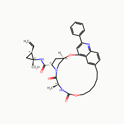 C=C[C@@H]1C[C@]1(NC(=O)[C@@H]1C[C@@H]2CN1C(=O)[C@H](C)NC(=O)OCCCCCc1ccc3nc(-c4ccccc4)cc(c3c1)O2)C(=O)O